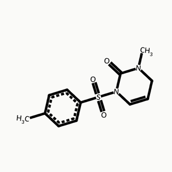 Cc1ccc(S(=O)(=O)N2C=CCN(C)C2=O)cc1